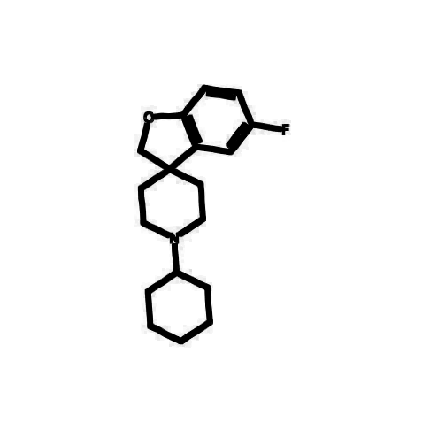 Fc1ccc2c(c1)C1(CCN(C3CCCCC3)CC1)CO2